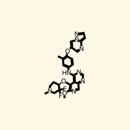 COc1ncc2ncnc(Nc3ccc(Oc4cnc5ccnn5c4)c(C)c3)c2c1O[C@@H]1CCN(C)CC1(F)F